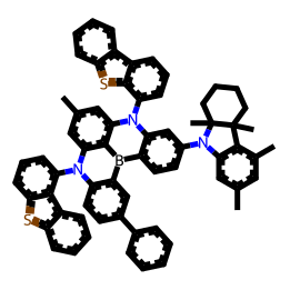 Cc1cc2c3c(c1)N(c1cccc4sc5ccccc5c14)c1ccc(-c4ccccc4)cc1B3c1ccc(N3c4cc(C)cc(C)c4C4(C)CCCCC34C)cc1N2c1cccc2c1sc1ccccc12